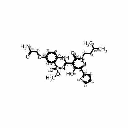 COP1(=O)N=C(c2c(O)c(-c3cccs3)nn(CCC(C)C)c2=O)Nc2ccc(OCC(N)=O)cc21